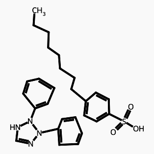 C1=NN(c2ccccc2)N(c2ccccc2)N1.CCCCCCCCc1ccc(S(=O)(=O)O)cc1